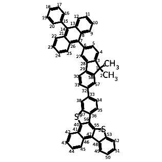 CC1(C)c2ccc(-c3c4ccccc4c(-c4ccccc4)c4ccccc34)cc2-c2ccc(-c3ccc4c(c3)sc3c5ccccc5c5c6ccccc6sc5c43)cc21